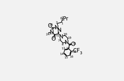 CC(C)CCn1nc(N2CCN(C(=O)c3ccccc3C(F)(F)F)CC2)c(=O)n(C)c1=O